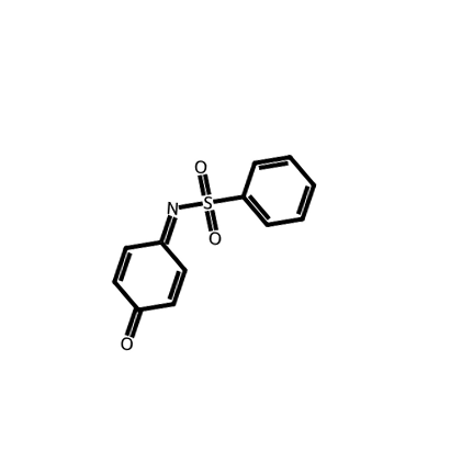 O=C1C=CC(=NS(=O)(=O)c2ccccc2)C=C1